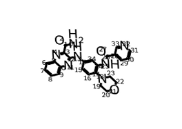 NC(=O)c1nc2ccccc2nc1Nc1ccc(N2CCOCC2)c(NC(=O)c2cccnc2)c1